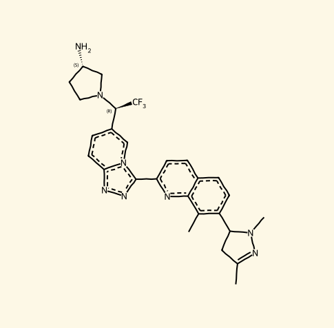 CC1=NN(C)C(c2ccc3ccc(-c4nnc5ccc([C@@H](N6CC[C@H](N)C6)C(F)(F)F)cn45)nc3c2C)C1